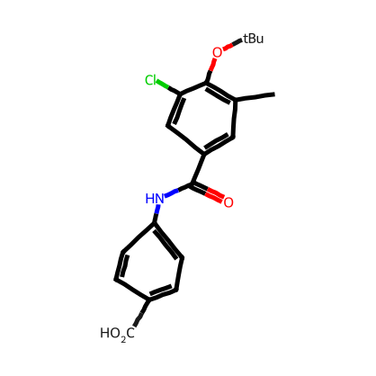 Cc1cc(C(=O)Nc2ccc(C(=O)O)cc2)cc(Cl)c1OC(C)(C)C